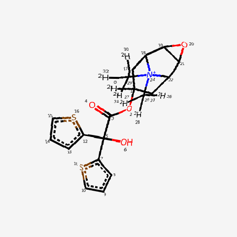 [2H]C1(OC(=O)C(O)(c2cccs2)c2cccs2)CC2C3OC3C(C1)[N+]2(C([2H])([2H])[2H])C([2H])([2H])[2H]